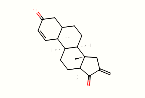 C=C1C[C@H]2[C@@H]3CCC4CC(=O)C=C[C@]4(C)[C@@H]3CC[C@]2(C)C1=O